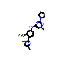 COc1cc(Nc2cc(C)nc(N3CCCC3)n2)ccc1-c1nc(C)c[nH]1